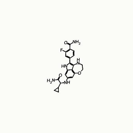 NC(=O)c1ccc(-c2[nH]c3cc(N[C@H](C(N)=O)C4CC4)cc4c3c2NCCO4)cc1F